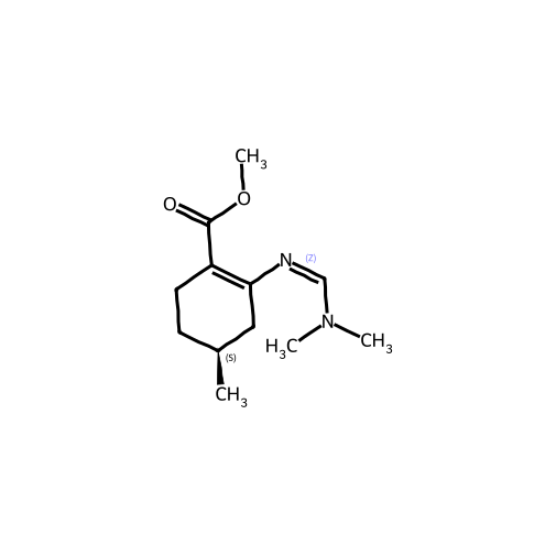 COC(=O)C1=C(/N=C\N(C)C)C[C@@H](C)CC1